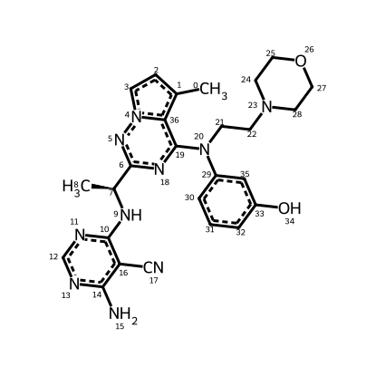 Cc1ccn2nc([C@H](C)Nc3ncnc(N)c3C#N)nc(N(CCN3CCOCC3)c3cccc(O)c3)c12